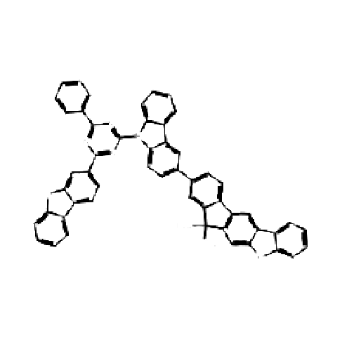 CC1(C)c2cc(-c3ccc4c(c3)c3ccccc3n4-c3nc(-c4ccccc4)nc(-c4ccc5c(c4)sc4ccccc45)n3)ccc2-c2cc3c(cc21)oc1ccccc13